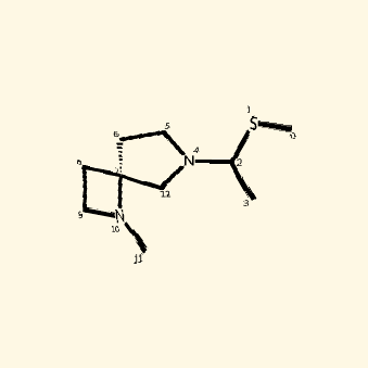 CSC(C)N1CC[C@]2(CCN2C)C1